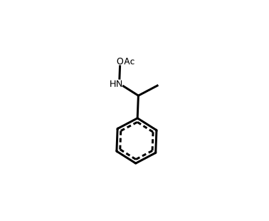 CC(=O)ONC(C)c1ccccc1